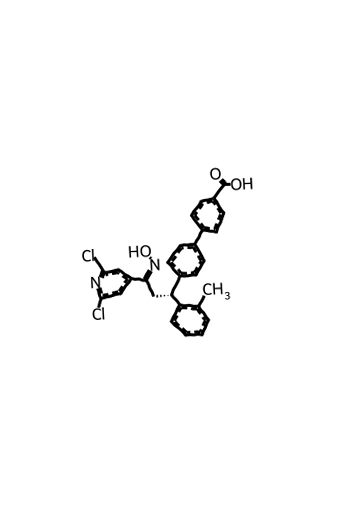 Cc1ccccc1[C@H](CC(=NO)c1cc(Cl)nc(Cl)c1)c1ccc(-c2ccc(C(=O)O)cc2)cc1